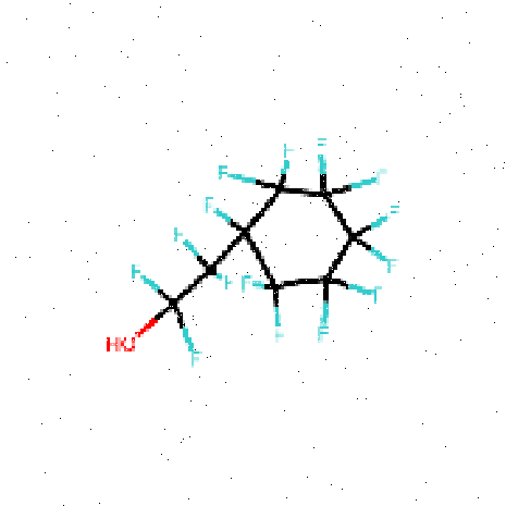 OC(F)(F)C(F)(F)C1(F)C(F)(F)C(F)(F)C(F)(F)C(F)(F)C1(F)F